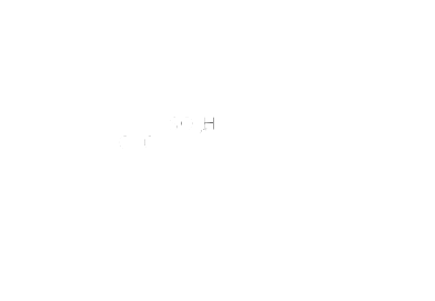 O=S(=O)(O)C1(C(Cl)(Cl)Cl)CCCc2c1ccc1c2ccc2ccccc21